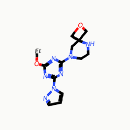 CCOc1nc(N2CCNC3(COC3)C2)nc(-n2cccn2)n1